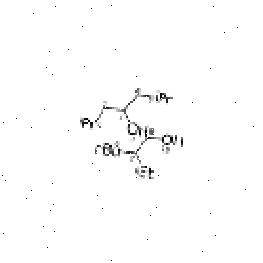 CC(C)CC(O)CC(C)C.CCCCC(CC)CO